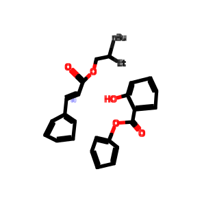 CCCCC(CC)COC(=O)/C=C/c1ccccc1.O=C(Oc1ccccc1)c1ccccc1O